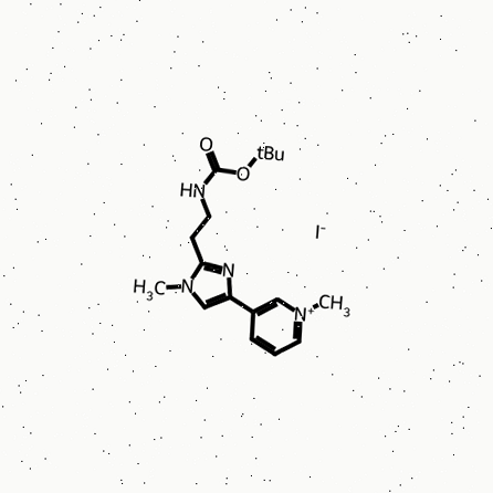 Cn1cc(-c2ccc[n+](C)c2)nc1CCNC(=O)OC(C)(C)C.[I-]